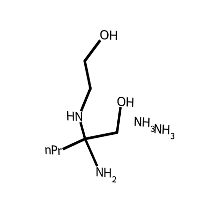 CCCC(N)(CO)NCCO.N.N